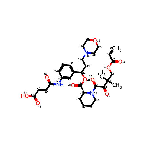 C=CC(=O)OCC(C)(C)C(=O)C(=O)N1CCCC[C@H]1C(=O)OC(CCN1CCOCC1)c1cccc(NC(=O)CCC(=O)O)c1